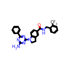 Nc1nc(-c2ccccc2)nc(N2CCc3cc(C(=O)NCc4ccccc4C(F)(F)F)ccc32)n1